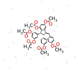 CC(=O)Oc1ccc(/C=C2/c3cc(OC(C)=O)cc(OC(C)=O)c3[C@H](c3cc(OC(C)=O)cc(OC(C)=O)c3)[C@H]2c2ccc(OC(C)=O)cc2)cc1